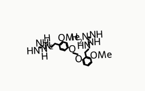 COc1cc(OCCOc2cccc(OC)c2CCNNC(=N)N)ccc1CCNNC(=N)N